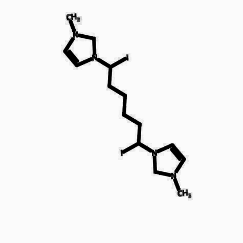 CN1C=CN(C(I)CCCCC(I)N2C=CN(C)C2)C1